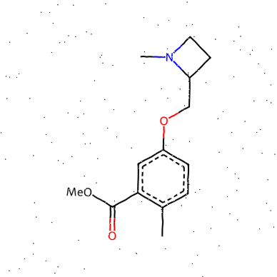 COC(=O)c1cc(OCC2CCN2C)ccc1C